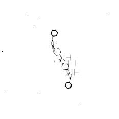 O=C(NC1CCN(C(=O)OCc2ccccc2)CC1)C1CC[C@@H](NOCc2ccccc2)CN1